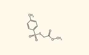 COC(=O)CSS(=O)(=O)c1ccc(C)cc1